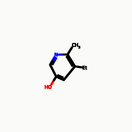 CCc1cc(O)cnc1C